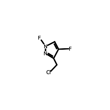 Fc1cn(F)nc1CCl